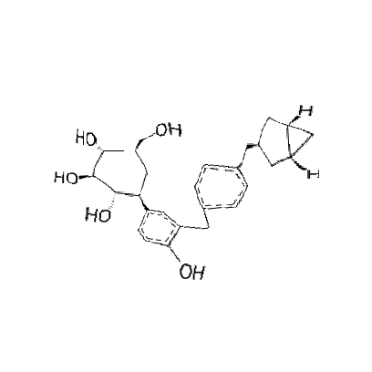 OC[C@H]1C[C@@H](c2ccc(O)c(Cc3ccc(C[C@H]4C[C@@H]5C[C@@H]5C4)cc3)c2)[C@H](O)[C@@H](O)[C@@H]1O